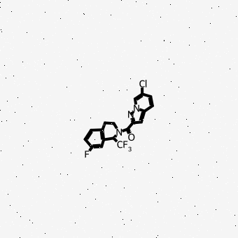 O=C(c1cc2ccc(Cl)cn2n1)N1CCc2ccc(F)cc2C1C(F)(F)F